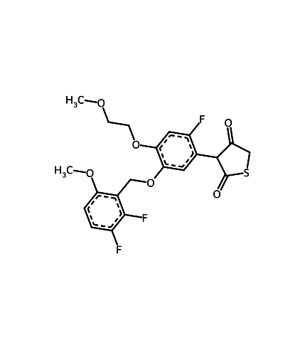 COCCOc1cc(F)c(C2C(=O)CSC2=O)cc1OCc1c(OC)ccc(F)c1F